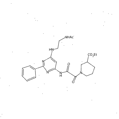 CCOC(=O)C1CCCN(C(=O)C(=O)Nc2cc(NCCNC(C)=O)nc(-c3ccccc3)n2)C1